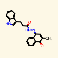 CC1=C/C(=N/NC(=O)CCc2c[nH]c3ccccc23)c2ccccc2C1=O